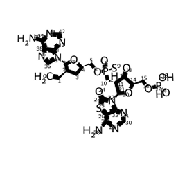 C=C[C@@H]1C[C@@H](CO[P@](=O)(S)C[C@@H]2C(=O)[C@@H](CO[PH](=O)O)O[C@H]2n2c(=O)sc3c(N)ncnc32)O[C@H]1n1cnc2c(N)ncnc21